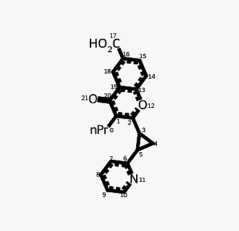 CCCc1c(C2CC2c2ccccn2)oc2ccc(C(=O)O)cc2c1=O